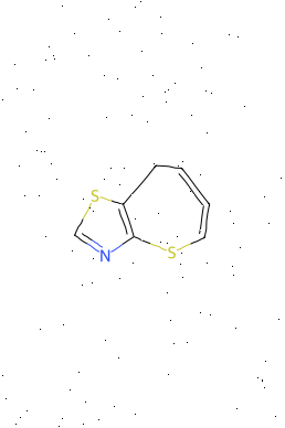 C1=CCc2scnc2SC=1